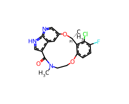 C[C@H]1Oc2cnc3[nH]cc(c3c2)C(=O)N(C)CCOc2ccc(F)c(Cl)c21